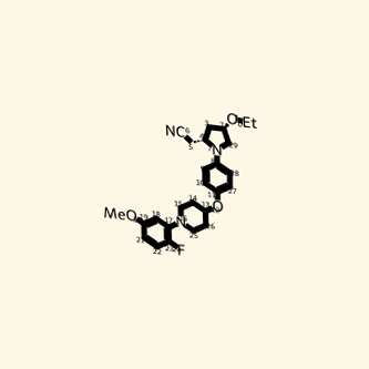 CCO[C@@H]1C[C@@H](CC#N)N(c2ccc(OC3CCN(c4cc(OC)ccc4F)CC3)cc2)C1